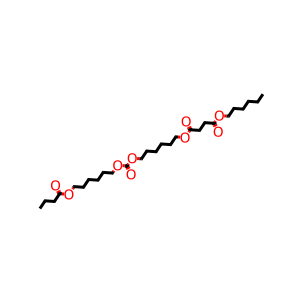 CCCCCCOC(=O)CCC(=O)OCCCCCCOC(=O)OCCCCCCOC(=O)CCC